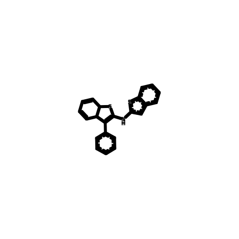 C1=CC2SC(Nc3cc4ccccc4s3)=C(c3ccccc3)C2C=C1